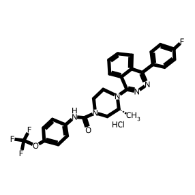 C[C@@H]1CN(C(=O)Nc2ccc(OC(F)(F)F)cc2)CCN1c1nnc(-c2ccc(F)cc2)c2ccccc12.Cl